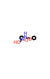 O=C(COc1ccccc1)Nc1cccc(CO)n1